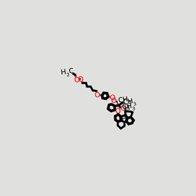 C=CCOOCCCCCCOc1ccc(OOC[C@](c2ccccc2)(C2Oc3ccc4c(c3[C@H]3c5ccccc5CC[C@H]3O2)CCCC4)C(C)(C)C)cc1